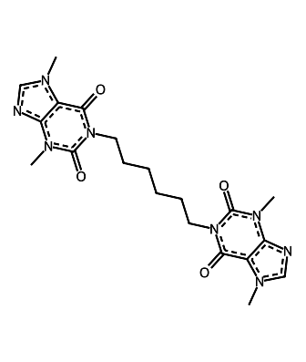 Cn1cnc2c1c(=O)n(CCCCCCn1c(=O)c3c(ncn3C)n(C)c1=O)c(=O)n2C